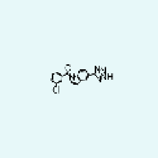 O=C(c1cccc(Cl)c1)n1ccc2cc(-c3nn[nH]n3)ccc21